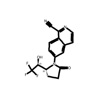 N#Cc1nccc2cc(N3C(=O)CC[C@@H]3[C@H](O)C(F)(F)F)ccc12